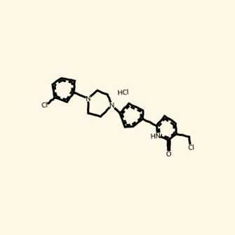 Cl.O=c1[nH]c(-c2ccc(N3CCN(c4cccc(Cl)c4)CC3)cc2)ccc1CCl